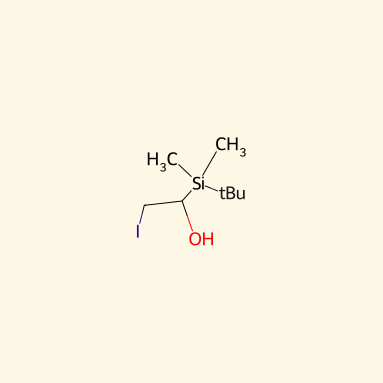 CC(C)(C)[Si](C)(C)C(O)CI